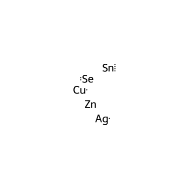 [Ag].[Cu].[Se].[Sn].[Zn]